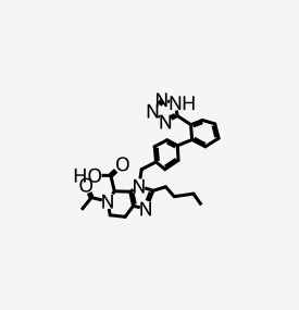 CCCCc1nc2c(n1Cc1ccc(-c3ccccc3-c3nnn[nH]3)cc1)C(C(=O)O)N(C(C)=O)CC2